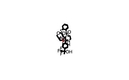 CC(O)(c1ccc([C@]2(CN3C4COCC3CC(=O)C4)CN(S(=O)(=O)C3=CC=CCC3=S)CCN2)cc1)C(F)(F)F